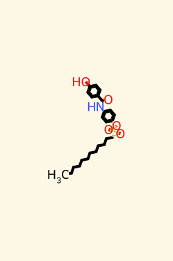 CCCCCCCCCCCCS(=O)(=O)Oc1ccc(NC(=O)c2ccc(O)cc2)cc1